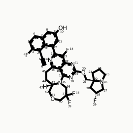 C#Cc1c(F)ccc2cc(O)cc(-c3nc4c5c(nc(OC[C@@]67CCCN6C[C@H](F)C7)nc5c3F)N3CC(F)(F)COC[C@@H]3CC4)c12